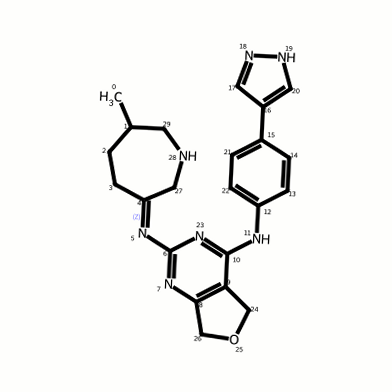 CC1CC/C(=N/c2nc3c(c(Nc4ccc(-c5cn[nH]c5)cc4)n2)COC3)CNC1